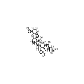 C=CC(=O)Nc1cc(Nc2cc(Oc3cccc(OC)c3)ccn2)c(OC)cc1N(C)CCN(C)C